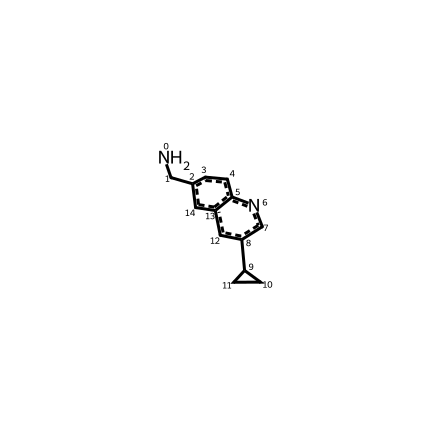 NCc1ccc2ncc(C3CC3)cc2c1